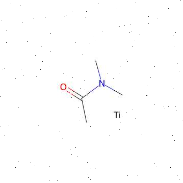 CC(=O)N(C)C.[Ti]